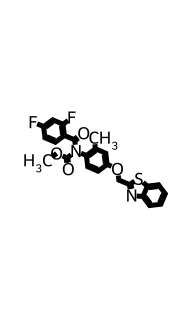 COC(=O)N(C(=O)c1ccc(F)cc1F)c1ccc(OCc2nc3ccccc3s2)cc1C